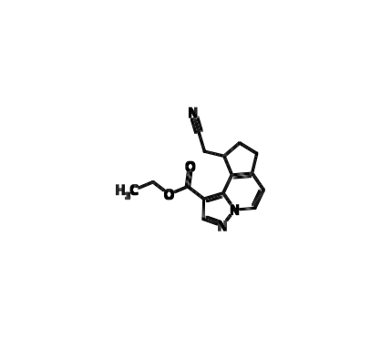 CCOC(=O)c1cnn2ccc3c(c12)C(CC#N)CC3